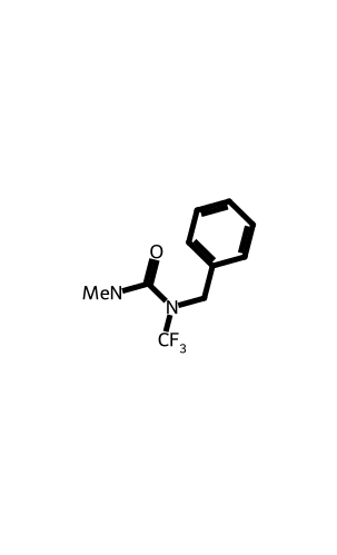 CNC(=O)N(Cc1ccccc1)C(F)(F)F